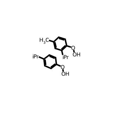 CC(C)c1ccc(OO)cc1.Cc1ccc(OO)c(C(C)C)c1